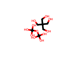 OC(O)(O)OC(O)(O)O.OCC(CO)(CO)CO